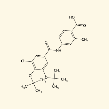 Cc1cc(NC(=O)c2cc(Cl)c(OC(C)(C)C)c(OC(C)(C)C)c2)ccc1C(=O)O